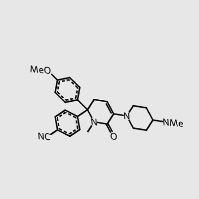 CNC1CCN(C2=CCC(c3ccc(C#N)cc3)(c3ccc(OC)cc3)N(C)C2=O)CC1